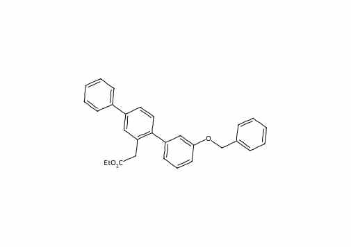 CCOC(=O)Cc1cc(-c2ccccc2)ccc1-c1cccc(OCc2ccccc2)c1